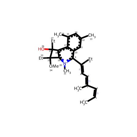 C\C=C/C(C)=C/C=C(\CC)c1c2cc(C)cc(C)c2c2c([n+]1C)C(CC)(OC)C2(O)CC